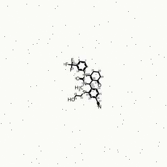 CN1C(=O)N(c2cccc(C(F)(F)F)c2)C2=C(C(=O)CCC2)C1c1ccc(C#N)cc1SCCO